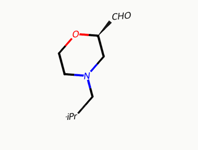 C[C](C)CN1CCO[C@@H](C=O)C1